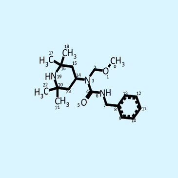 COCN(C(=O)NCc1ccccc1)C1CC(C)(C)NC(C)(C)C1